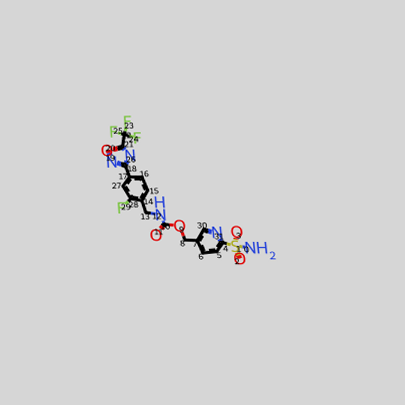 NS(=O)(=O)c1ccc(COC(=O)NCc2ccc(-c3noc(C(F)(F)F)n3)cc2F)cn1